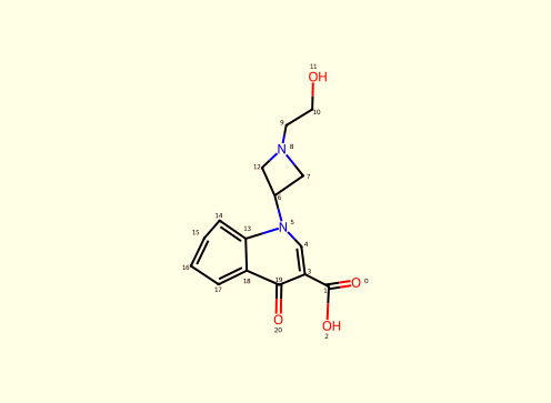 O=C(O)c1cn(C2CN(CCO)C2)c2ccccc2c1=O